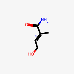 C/C(=C\CO)C(N)=O